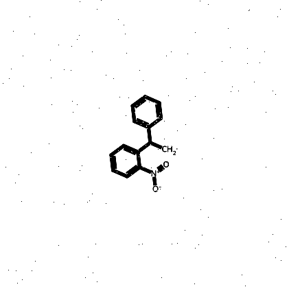 [CH2]C(c1ccccc1)c1ccccc1[N+](=O)[O-]